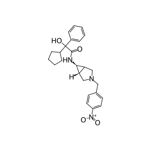 O=C(N[C@H]1C2CN(Cc3ccc([N+](=O)[O-])cc3)C[C@@H]21)C(O)(c1ccccc1)C1CCCC1